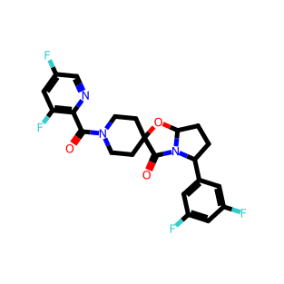 O=C(c1ncc(F)cc1F)N1CCC2(CC1)OC1CCC(c3cc(F)cc(F)c3)N1C2=O